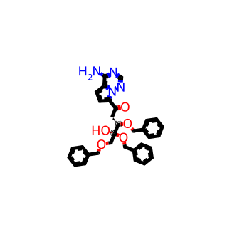 Nc1ncnn2c(C(=O)C[C@H](OCc3ccccc3)[C@](O)(COCc3ccccc3)OCc3ccccc3)ccc12